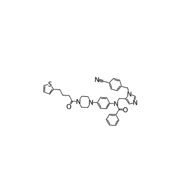 N#Cc1ccc(Cn2cncc2CN(C(=O)c2ccccc2)c2ccc(N3CCN(C(=O)CCCc4cccs4)CC3)cc2)cc1